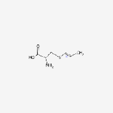 C/C=C/SCC(N)C(=O)O